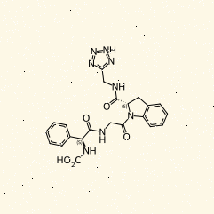 O=C(O)N[C@H](C(=O)NCC(=O)N1c2ccccc2C[C@H]1C(=O)NCc1nn[nH]n1)c1ccccc1